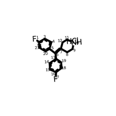 Cl.Fc1ccc(C(=C2CCNCC2)c2ccc(F)cc2)cc1